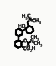 CN(C)CC1CCCCC1(O)c1cccc(-c2cccc(C(=O)O)c2OC(=O)N(C)C)c1